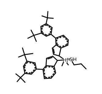 CCC[SiH]=[Hf]([CH3])([CH3])([CH]1C=Cc2c(-c3cc(C(C)(C)C)cc(C(C)(C)C)c3)cccc21)[CH]1C=Cc2c(-c3cc(C(C)(C)C)cc(C(C)(C)C)c3)cccc21